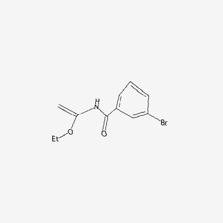 C=C(NC(=O)c1cccc(Br)c1)OCC